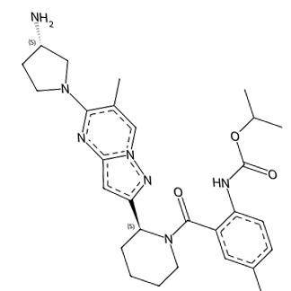 Cc1cn2nc([C@@H]3CCCCN3C(=O)c3cc(Cl)ccc3NC(=O)OC(C)C)cc2nc1N1CC[C@H](N)C1